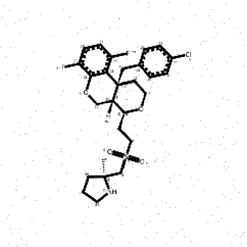 C[C@@]1(CS(=O)(=O)CC[C@@H]2OCC[C@@]3(Cc4ccc(Cl)cc4)c4c(F)ccc(F)c4OC[C@@H]23)CCCN1